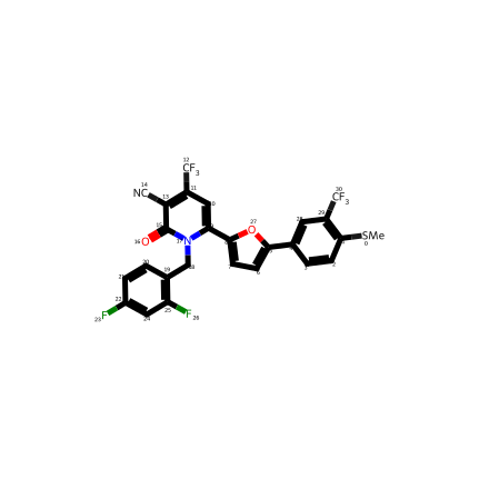 CSc1ccc(-c2ccc(-c3cc(C(F)(F)F)c(C#N)c(=O)n3Cc3ccc(F)cc3F)o2)cc1C(F)(F)F